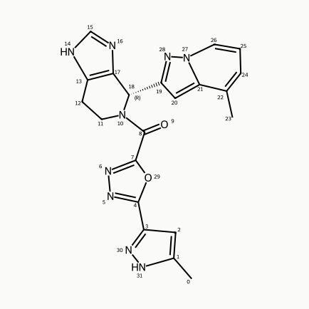 Cc1cc(-c2nnc(C(=O)N3CCc4[nH]cnc4[C@@H]3c3cc4c(C)cccn4n3)o2)n[nH]1